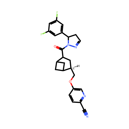 N#Cc1ccc(OC[C@@H]2CC(C(=O)N3N=CCC3c3cc(F)cc(F)c3)C3CC2C3)cn1